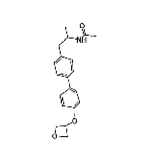 CC(=O)NC(C)Cc1ccc(-c2ccc(OC3COC3)cc2)cc1